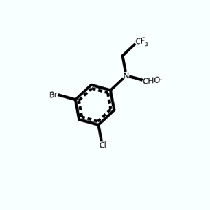 O=[C]N(CC(F)(F)F)c1cc(Cl)cc(Br)c1